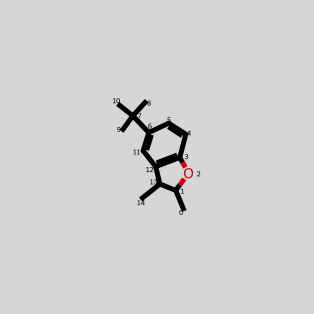 CC1Oc2ccc(C(C)(C)C)cc2C1C